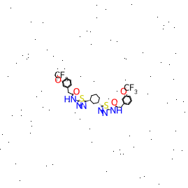 O=C(Cc1cccc(OC(F)(F)F)c1)Nc1nnc([C@H]2CCC[C@H](c3nnc(NC(=O)Cc4cccc(OC(F)(F)F)c4)s3)C2)s1